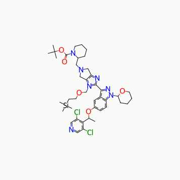 CC(Oc1ccc2c(c1)c(-c1nc3c(n1COCC[Si](C)(C)C)CN(CC1CCCCN1C(=O)OC(C)(C)C)C3)nn2C1CCCCO1)c1c(Cl)cncc1Cl